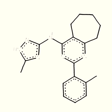 Cc1nc(Nc2nc(-c3ccccc3C)nc3c2CCCCC3)n[nH]1